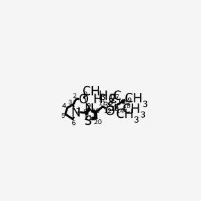 COCC1CCCN1c1nc(CO[Si](C)(C)C(C)(C)C)cs1